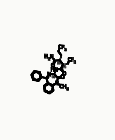 CN1C(=O)[C@@H](NC(=O)[C@@H](CC(F)(F)F)[C@@H](CCC(F)(F)F)C(N)=O)N=C(c2ccccc2)c2ccccc21